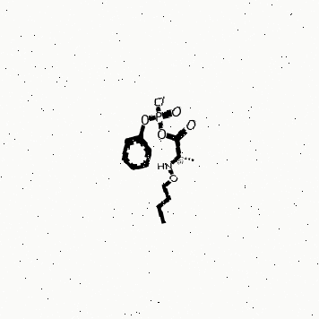 CCCCON[C@@H](C)C(=O)OP(=O)(Cl)Oc1ccccc1